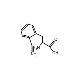 C#Cc1ccccc1CC(N)C(=O)O